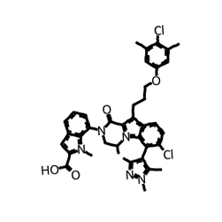 Cc1cc(OCCCc2c3n(c4c(-c5c(C)nn(C)c5C)c(Cl)ccc24)C(C)CN(c2cccc4cc(C(=O)O)n(C)c24)C3=O)cc(C)c1Cl